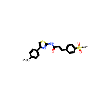 CCCS(=O)(=O)c1ccc(C=CC(=O)Nc2nc(-c3ccc(OC)cc3)cs2)cc1